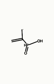 [CH2]C(=C)[PH](=O)O